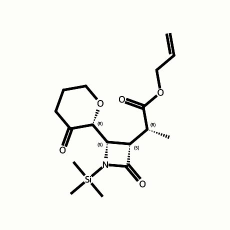 C=CCOC(=O)[C@H](C)[C@@H]1C(=O)N([Si](C)(C)C)[C@@H]1[C@H]1OCCCC1=O